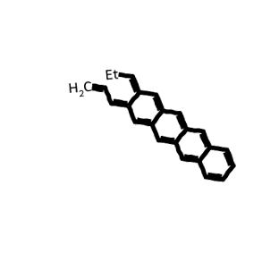 C=C/C=c1/cc2cc3cc4ccccc4cc3cc2c/c1=C/CC